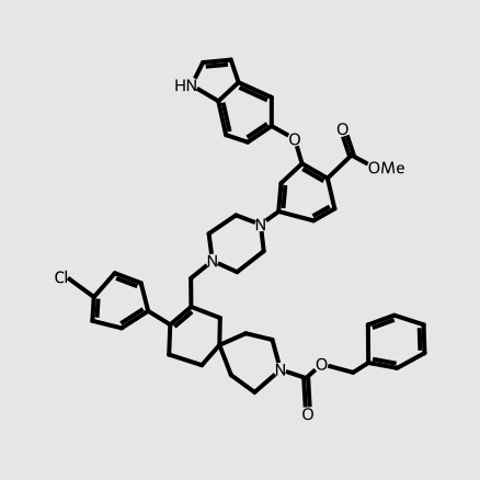 COC(=O)c1ccc(N2CCN(CC3=C(c4ccc(Cl)cc4)CCC4(CCN(C(=O)OCc5ccccc5)CC4)C3)CC2)cc1Oc1ccc2[nH]ccc2c1